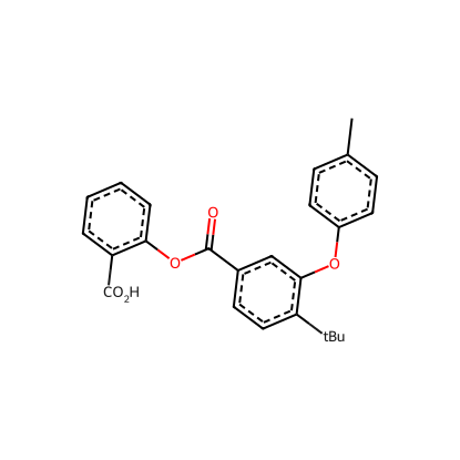 Cc1ccc(Oc2cc(C(=O)Oc3ccccc3C(=O)O)ccc2C(C)(C)C)cc1